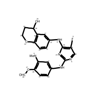 CNc1cc(Nc2ncc(F)c(Nc3ccc4c(c3)C(O)CCO4)n2)ccc1OC=O